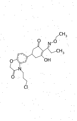 CCON=C(CC)C1=C(O)CC(c2ccc3c(c2)N(CCCCl)C(=O)CO3)CC1=O